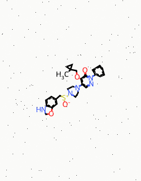 CC1(COc2c(N3CCN([S+]([O-])Cc4ccc5c(c4)OCN5)CC3)cnn(-c3ccccc3)c2=O)CC1